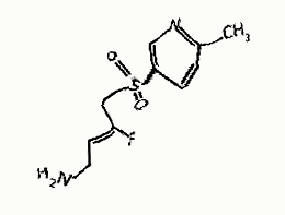 Cc1ccc(S(=O)(=O)C/C(F)=C/CN)cn1